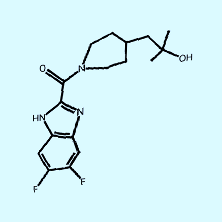 CC(C)(O)CC1CCN(C(=O)c2nc3cc(F)c(F)cc3[nH]2)CC1